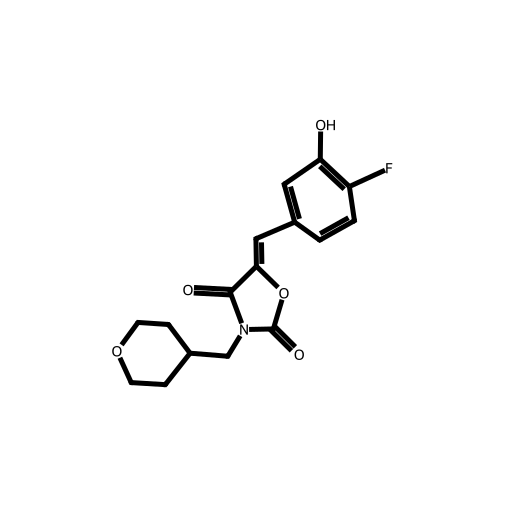 O=C1O/C(=C\c2ccc(F)c(O)c2)C(=O)N1CC1CCOCC1